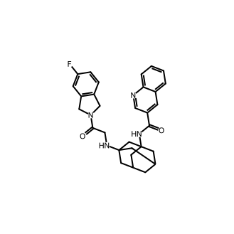 O=C(NC12CC3CC(CC(NCC(=O)N4Cc5ccc(F)cc5C4)(C3)C1)C2)c1cnc2ccccc2c1